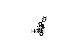 CN1CC=C(c2cccc3c2cnn3C(Cc2ccccc2)C(=O)NO)CC1